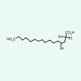 CCC(CC)(CC(CCCCCCCCCCCC(=O)O)C(C)C)C(=O)O